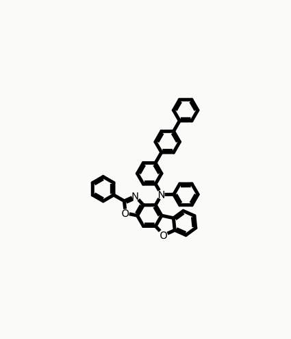 c1ccc(-c2ccc(-c3cccc(N(c4ccccc4)c4c5nc(-c6ccccc6)oc5cc5oc6ccccc6c45)c3)cc2)cc1